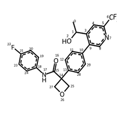 CC(O)c1cc(C(F)(F)F)ncc1-c1ccc(C2(C(=O)Nc3ccc(F)cc3)COC2)cc1